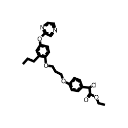 CCCc1cc(Oc2cnccn2)ccc1OCCCOc1ccc(C(Cl)C(=O)OCC)cc1